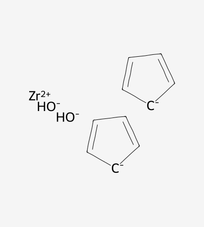 [OH-].[OH-].[Zr+2].c1cc[cH-]c1.c1cc[cH-]c1